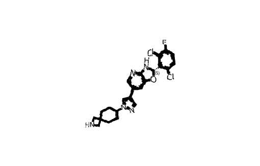 Fc1ccc(Cl)c([C@H]2Nc3ncc(-c4cnn(C5CCC6(CC5)CNC6)c4)cc3O2)c1Cl